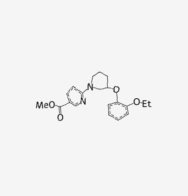 CCOc1ccccc1OC1CCCN(c2ccc(C(=O)OC)cn2)C1